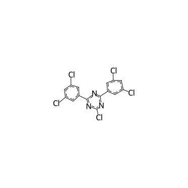 Clc1cc(Cl)cc(-c2nc(Cl)nc(-c3cc(Cl)cc(Cl)c3)n2)c1